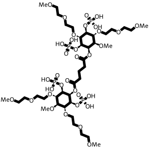 COCCOCCO[C@@H]1[C@@H](OC)[C@@H](OC(=O)CCCC(=O)O[C@@H]2[C@H](OP(=O)(O)O)[C@@H](OCCOCCOC)[C@H](OC)[C@@H](OCCOCCOC)[C@@H]2OP(=O)(O)O)[C@@H](OP(=O)(O)O)[C@H](OCCOCCOC)[C@H]1OP(=O)(O)O